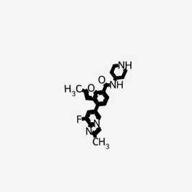 Cc1cn2cc(-c3ccc(C(=O)NC4CCNCC4)c4oc(C)cc34)cc(F)c2n1